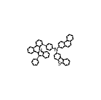 c1ccc(-c2c3ccccc3n3c4c(-c5ccc(N(c6ccc7c(ccc8ccccc87)c6)c6ccc7sc8ccccc8c7c6)cc5)cccc4c4ccccc4c23)cc1